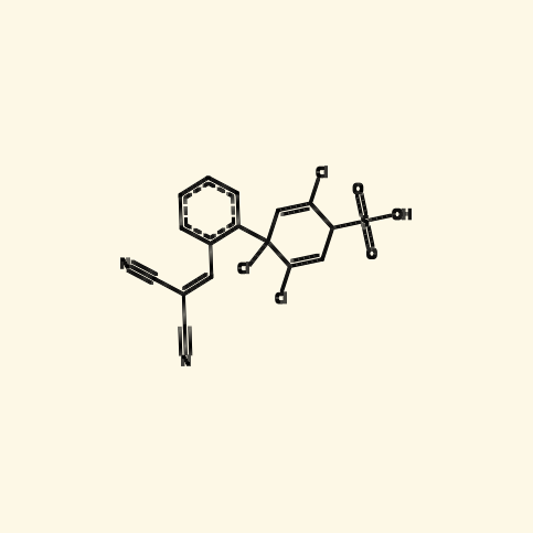 N#CC(C#N)=Cc1ccccc1C1(Cl)C=C(Cl)C(S(=O)(=O)O)C=C1Cl